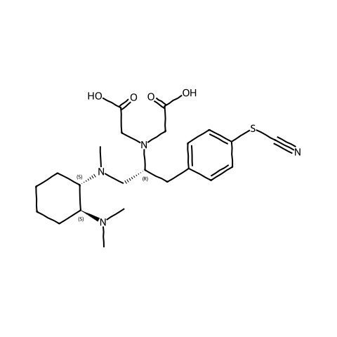 CN(C)[C@H]1CCCC[C@@H]1N(C)C[C@@H](Cc1ccc(SC#N)cc1)N(CC(=O)O)CC(=O)O